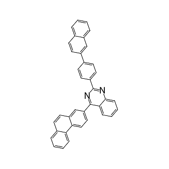 c1ccc2cc(-c3ccc(-c4nc(-c5ccc6c(ccc7ccccc76)c5)c5ccccc5n4)cc3)ccc2c1